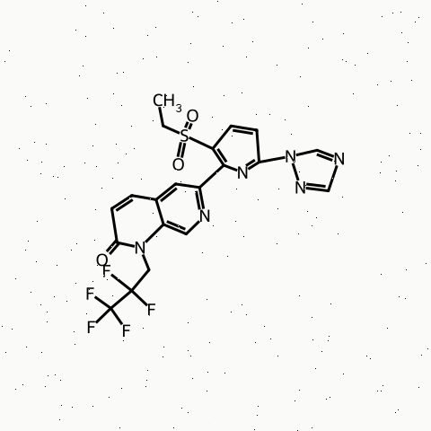 CCS(=O)(=O)c1ccc(-n2cncn2)nc1-c1cc2ccc(=O)n(CC(F)(F)C(F)(F)F)c2cn1